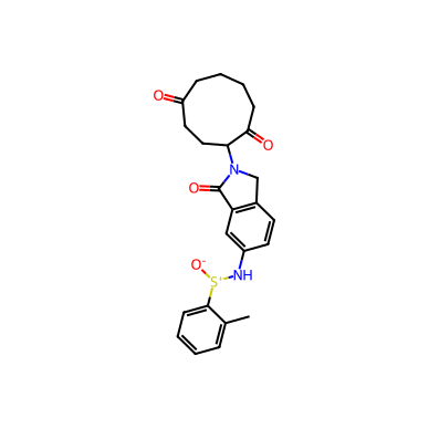 Cc1ccccc1[S+]([O-])Nc1ccc2c(c1)C(=O)N(C1CCC(=O)CCCCC1=O)C2